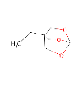 CCC12COC(OC1)OC2